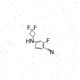 N#Cc1ccc(NC2CC(F)(F)C2)cc1F